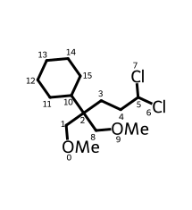 COCC(CCC(Cl)Cl)(COC)C1CCCCC1